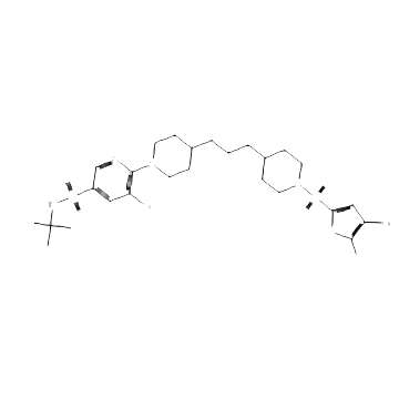 CC(C)(NS(=O)(=O)c1cnc(N2CCC(CCCC3CCN(S(=O)(=O)c4cc(Br)c(Cl)s4)CC3)CC2)c(Br)c1)C(=O)O